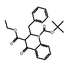 CCOC(=O)C1C(=O)c2ccccc2N(C(=O)OC(C)(C)C)C1Cc1ccccc1